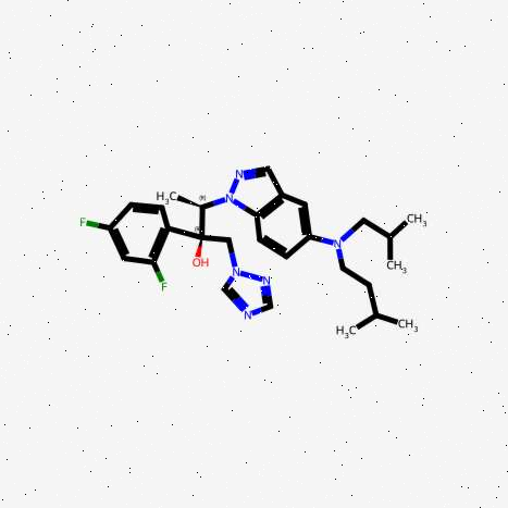 CC(C)CCN(CC(C)C)c1ccc2c(cnn2[C@H](C)[C@](O)(Cn2cncn2)c2ccc(F)cc2F)c1